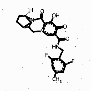 Cc1cc(F)c(CNC(=O)c2cn3c(c(O)c2=O)C(=O)N2C(C3)C3CC[C@@H]2C3)c(F)c1